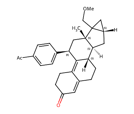 COCC12C[C@@H]1C[C@H]1[C@@H]3CCC4=CC(=O)CCC4=C3[C@@H](c3ccc(C(C)=O)cc3)C[C@@]12C